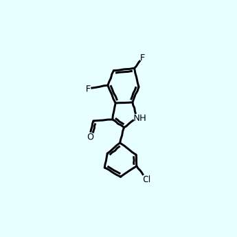 O=Cc1c(-c2cccc(Cl)c2)[nH]c2cc(F)cc(F)c12